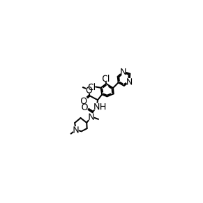 COC(=O)C(NC(=O)N(C)C1CCN(C)CC1)c1ccc(-c2cncnc2)c(Cl)c1Cl